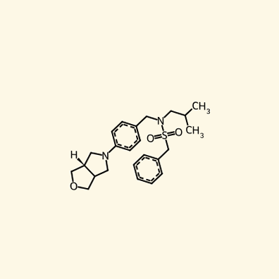 CC(C)CN(Cc1ccc(N2CC3COC[C@@H]3C2)cc1)S(=O)(=O)Cc1ccccc1